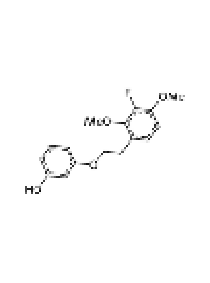 COc1ccc(CCOc2c[c]cc(O)c2)c(OC)c1F